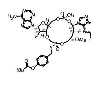 CO[C@@H]1COP(=O)(SCc2ccc(OC(=O)C(C)(C)C)cc2)CO[C@H]2[C@@H](F)[C@H](n3cnc4c(N)ncnc43)O[C@@H]2COP(=O)(O)O[C@@H](n2cnc3c(=O)[nH]c(N)nc32)[C@@H]1F